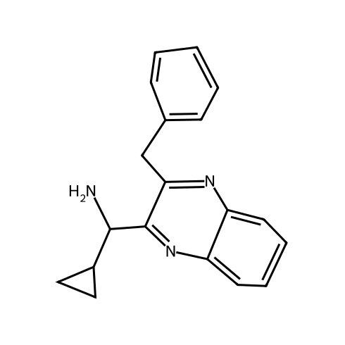 NC(c1nc2ccccc2nc1Cc1ccccc1)C1CC1